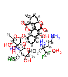 CO[C@@H]1[C@@H](N)[C@@H](O[C@H]2[C@H](Oc3cccc4c(O)c5c(=O)oc6ccc(C)c7c(=O)oc(c34)c5c67)O[C@H](C)[C@H](O)[C@]2(C)O)O[C@H](C)[C@@H]1O.Cl.NCCCC(N)(C(=O)O)C(F)F.O